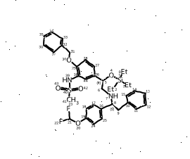 CC[Si](CC)(CC)O[C@@H](CN[C@@H](Cc1ccccc1)c1ccc(OC(F)F)cc1)c1ccc(OCc2ccccc2)c(NS(C)(=O)=O)c1